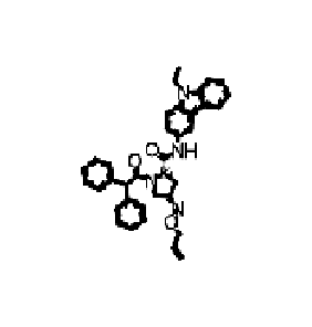 C=CCON=C1C[C@@H](C(=O)Nc2ccc3c(c2)c2ccccc2n3CC)N(C(=O)C(c2ccccc2)c2ccccc2)C1